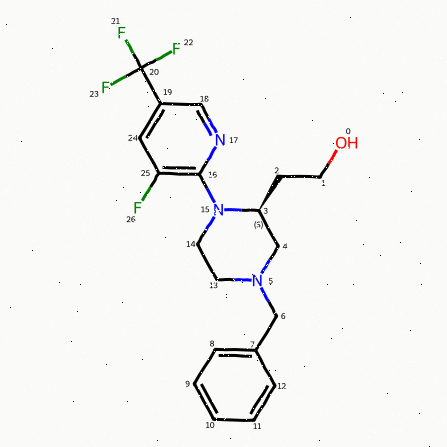 OCC[C@H]1CN(Cc2ccccc2)CCN1c1ncc(C(F)(F)F)cc1F